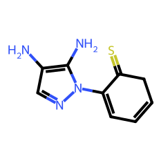 Nc1cnn(C2=CC=CCC2=S)c1N